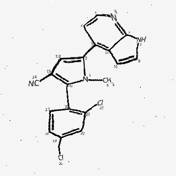 Cn1c(-c2ccnc3[nH]ccc23)cc(C#N)c1-c1ccc(Cl)cc1Cl